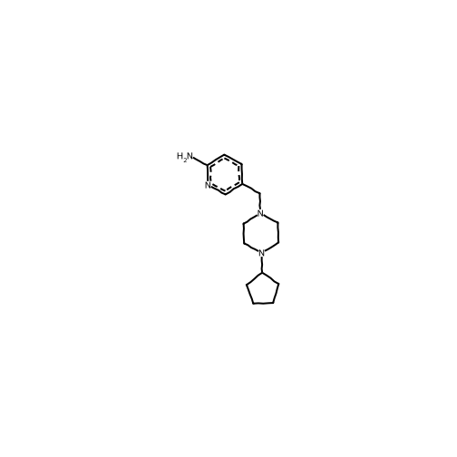 Nc1ccc(CN2CCN(C3CCCC3)CC2)cn1